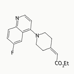 CCOC(=O)C=C1CCN(c2ccnc3ccc(F)cc23)CC1